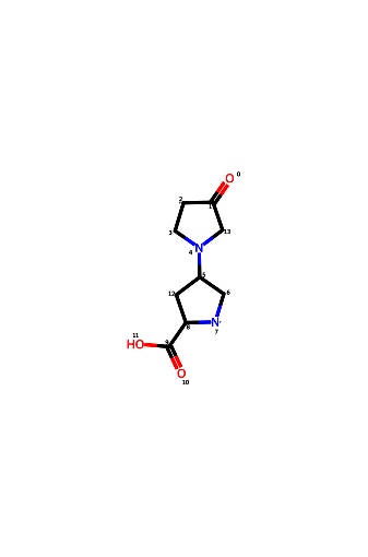 O=C1[CH]CN(C2C[N]C(C(=O)O)C2)C1